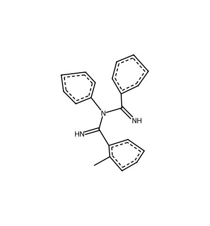 Cc1ccccc1C(=N)N(C(=N)c1ccccc1)c1ccccc1